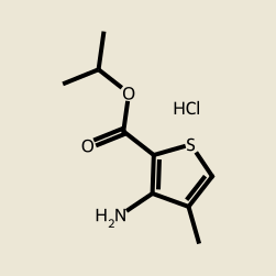 Cc1csc(C(=O)OC(C)C)c1N.Cl